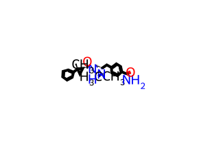 CN(C)[C@H](CNC(=O)[C@@H]1C[C@]1(C)c1ccccc1)Cc1ccc(C(N)=O)cc1